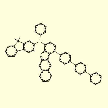 CC1(C)c2ccccc2-c2ccc(N(c3ccccc3)c3ccc(-c4ccc(-c5ccc(-c6ccccc6)cc5)cc4)c4c3oc3cc5ccccc5cc34)cc21